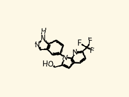 OCc1cc2ccc(C(F)(F)F)nc2n1-c1ccc2[nH]ncc2c1